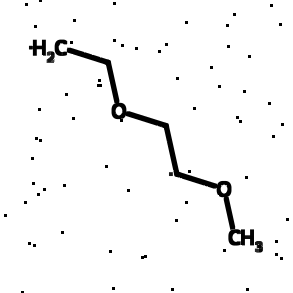 [CH2]COC[CH]OC